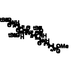 COC(=O)[C@@H](C)CCCCNC(=O)[C@H](CCCCNC(=O)[C@H](CCCCNC(=O)OC(C)(C)C)NC(=O)OC(C)(C)C)NC(=O)OC(C)(C)C